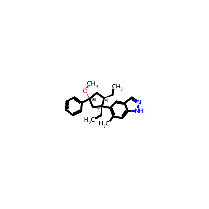 CC[C@@H]1C[C@](OC)(c2ccccc2)C[C@@]1(CC)c1cc2cn[nH]c2cc1C